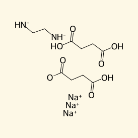 O=C(O)CCC(=O)O.O=C([O-])CCC(=O)O.[NH-]CC[NH-].[Na+].[Na+].[Na+]